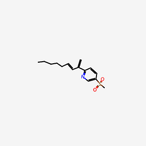 C=C(/C=C/CCCCC)c1ccc(S(C)(=O)=O)cn1